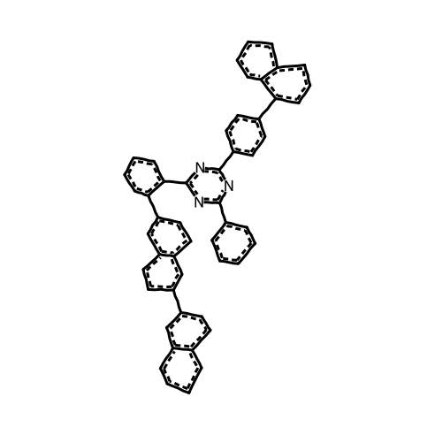 c1ccc(-c2nc(-c3ccc(-c4cccc5ccccc45)cc3)nc(-c3ccccc3-c3ccc4cc(-c5ccc6ccccc6c5)ccc4c3)n2)cc1